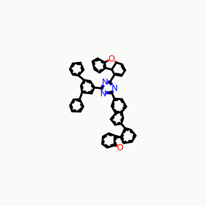 C1=CC2Oc3ccccc3C2C(c2nc(-c3cc(-c4ccccc4)cc(-c4ccccc4)c3)nc(-c3ccc4cc(-c5cccc6oc7ccccc7c56)ccc4c3)n2)=C1